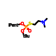 CCCC(C)OP(=O)(OC(C)(C)C)SCCN(C)C